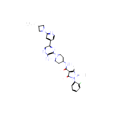 COC1CN(c2cc(-c3cnc(N)c(N4CCC(NC(=O)c5c(C)n(C)n(-c6ccccc6Cl)c5=O)CC4)n3)ccn2)C1